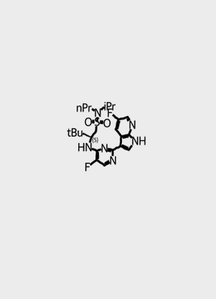 CCCN(C(C)C)S(=O)(=O)C[C@@H](Nc1nc(-c2c[nH]c3ncc(F)cc23)ncc1F)C(C)(C)C